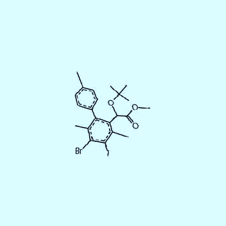 COC(=O)C(OC(C)(C)C)c1c(C)c(I)c(Br)c(C)c1-c1ccc(C)cc1